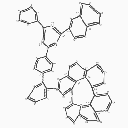 c1ccc(-c2nc(-c3ccc(-c4ccccc4-c4cc5ccc6cccc7c8cccc9ccc%10cccc(c(c4)c5c67)c%10c98)cc3)nc(-c3ccc4ccccc4c3)n2)cc1